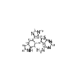 Cn1cnc(-c2ccc3[nH]ccc3c2)c1-c1cc2c(N)ncnc2s1